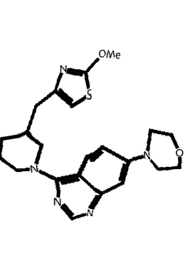 COc1nc(CC2CCCN(c3ncnc4cc(N5CCOCC5)ccc34)C2)cs1